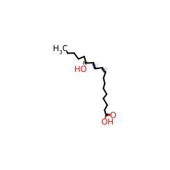 CCCCC[C@@H](O)/C=C/C=C\CCCCCCCC(=O)O